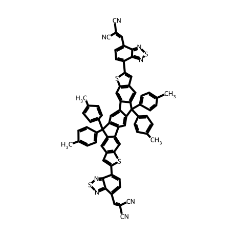 Cc1ccc(C2(c3ccc(C)cc3)c3cc4c(cc3-c3cc5sc(-c6ccc(C=C(C#N)C#N)c7nsnc67)cc5cc32)C(c2ccc(C)cc2)(c2ccc(C)cc2)c2cc3cc(-c5ccc(C=C(C#N)C#N)c6nsnc56)sc3cc2-4)cc1